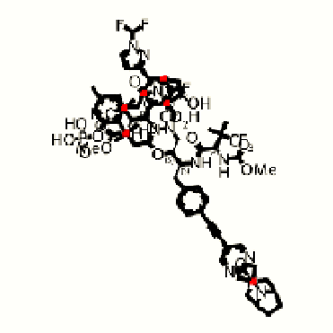 COC(=O)N[C@H](C(=O)N[C@@H](Cc1ccc(C#Cc2cnc(N3CC4CCC(C3)N4C3COC3)nc2)cc1)[C@H](CN(Cc1c(F)cc(-c2ccn(C(F)F)n2)cc1F)NC(=O)[C@@H](NC(=O)OC)C(C)(C)C(F)(F)F)OC(=O)CC(C)(C)c1c(CC(=O)N2CC[C@@H](O)[C@H]2C(=O)O)cc(C)cc1OP(=O)(O)O)C(C)(C)C(F)(F)F